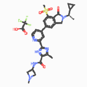 Cc1nc(-c2cc(-c3cc4c(c(S(C)(=O)=O)c3)C(=O)N([C@@H](C)C3CC3)C4)ccn2)[nH]c1C(=O)NC1CN(C)C1.O=C(O)C(F)(F)F